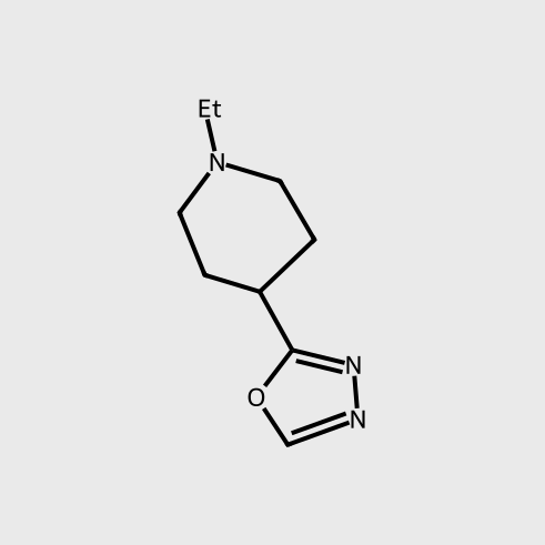 CCN1CCC(c2nnco2)CC1